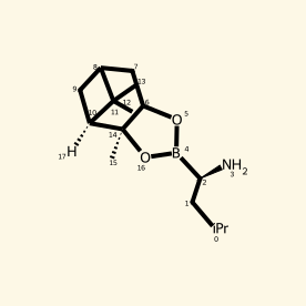 CC(C)C[C@H](N)B1OC2CC3C[C@@H](C3(C)C)[C@]2(C)O1